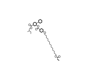 C=CC(=O)OCCCCCCCCCCCCCCOc1ccc(C(=O)Oc2cc(C(=O)OCC(C)CC)ccc2-c2ccccc2)cc1